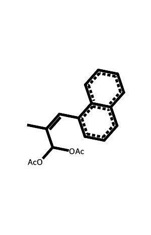 CC(=O)OC(OC(C)=O)C(C)=Cc1cccc2ccccc12